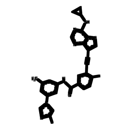 Cc1cn(-c2cc(NC(=O)c3ccc(C)c(C#Cc4csc5c(NC6CC6)ncnc45)c3)cc(C(F)(F)F)c2)cn1